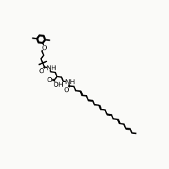 CCC=CCC=CCC=CCC=CCC=CCC=CCCC(=O)NCCC(CCNC(=O)C(C)(C)CCCOc1cc(C)ccc1C)C(=O)O